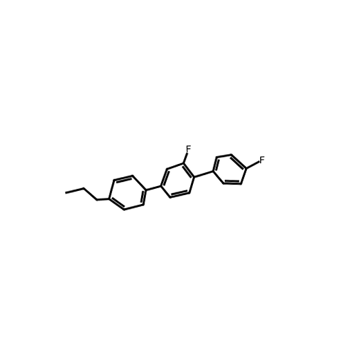 CCCc1ccc(-c2ccc(-c3ccc(F)cc3)c(F)c2)cc1